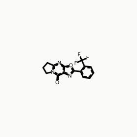 O=c1c2nc(-c3ccccc3C(F)(F)F)oc2nc2n1CCC2